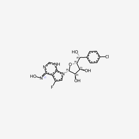 O/N=c1\nc[nH]c2c1c(F)cn2[C@@H]1O[C@H]([C@H](O)c2ccc(Cl)cc2)[C@@H](O)[C@H]1O